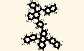 c1ccc2cc(-c3c4ccccc4c(-c4ccc5ccccc5c4)c4cc(-c5ccc(-c6cc7c(-c8ccc9ccccc9c8)nc8ccccc8c7c7ccccc67)cc5)ccc34)ccc2c1